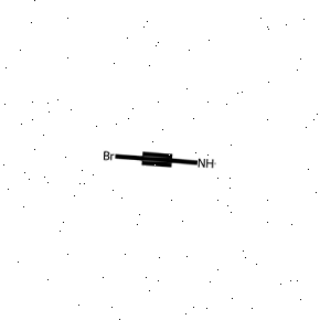 [NH]C#CBr